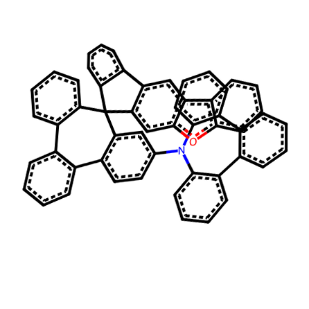 c1ccc2c(c1)-c1ccccc1N(c1ccc3c(c1)C1(c4ccccc4-c4ccccc4-3)c3ccccc3-c3cc4c(cc31)oc1ccccc14)c1ccccc1-2